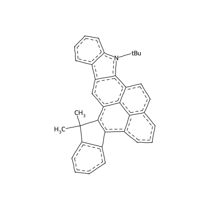 CC1(C)c2ccccc2-c2c1c1cc3c4ccccc4n(C(C)(C)C)c3c3ccc4cccc2c4c13